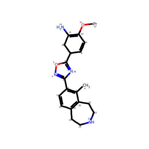 Cc1c(-c2noc(C3C=CC(OC(C)C)=C(N)C3)n2)ccc2c1CCNCC2